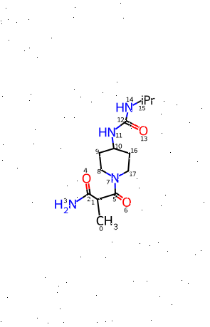 C[C](C(N)=O)C(=O)N1CCC(NC(=O)NC(C)C)CC1